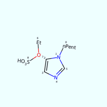 CCCCCn1ccnc1.CCOS(=O)(=O)O